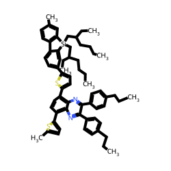 CCCCC(CC)C[Si]1(CC(CC)CCCC)c2cc(C)ccc2-c2ccc(-c3ccc(-c4ccc(-c5ccc(C)s5)c5nc(-c6ccc(CCC)cc6)c(-c6ccc(CCC)cc6)nc45)s3)cc21